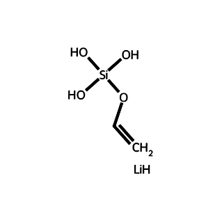 C=CO[Si](O)(O)O.[LiH]